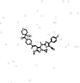 C=Nc1nn(C2CC2)c(N(C)c2nc(-c3ccc(F)cc3)c(C#N)s2)c1/C=C(\C)N1CCN(C(=O)C2(O)CCOCC2)CC1